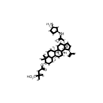 C=C(C)[C@@H]1CC[C@]2(CC(=O)N[C@H]3CC[C@@H](N)C3)CC[C@]3(C)[C@H](CCC4[C@@]5(C)CC[C@H](OC(=O)CC(C)(C)C(=O)O)C(C)(C)C5CC[C@]43C)[C@@H]12